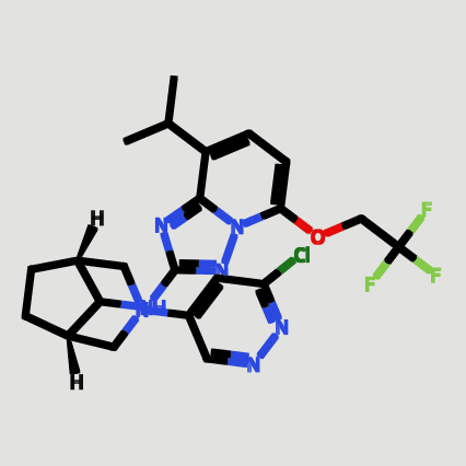 CC(C)c1ccc(OCC(F)(F)F)n2nc(NC3[C@@H]4CC[C@H]3CN(c3cnnc(Cl)c3)C4)nc12